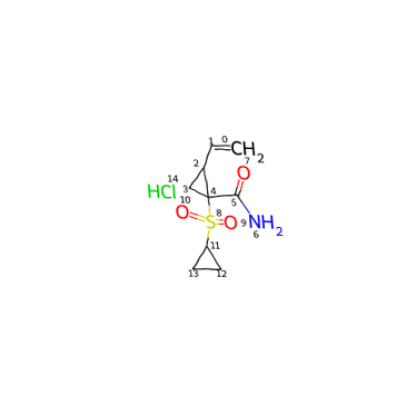 C=CC1CC1(C(N)=O)S(=O)(=O)C1CC1.Cl